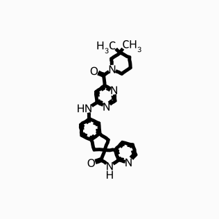 CC1(C)CCCN(C(=O)c2cc(Nc3ccc4c(c3)CC3(C4)C(=O)Nc4ncccc43)ncn2)C1